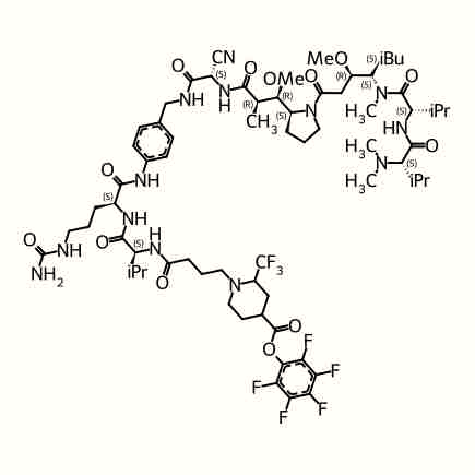 CC[C@H](C)[C@@H]([C@@H](CC(=O)N1CCC[C@H]1[C@H](OC)[C@@H](C)C(=O)N[C@@H](C#N)C(=O)NCc1ccc(NC(=O)[C@H](CCCNC(N)=O)NC(=O)[C@@H](NC(=O)CCCN2CCC(C(=O)Oc3c(F)c(F)c(F)c(F)c3F)CC2C(F)(F)F)C(C)C)cc1)OC)N(C)C(=O)[C@@H](NC(=O)[C@H](C(C)C)N(C)C)C(C)C